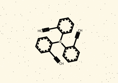 C#Cc1ccccc1[Si](c1ccccc1C#C)c1ccccc1C#C